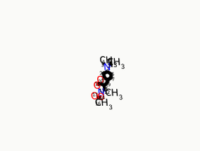 CCN(CC)c1ccc2cc(/C(C)=N/OC(C)=O)c(=O)oc2c1